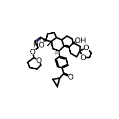 C[C@]12C[C@H](c3ccc(C(=O)C4CC4)cc3)C3=C4CCC5(C[C@]4(O)CCC3C1CC[C@@]2(O)/C=C\COC1CCCCO1)OCCO5